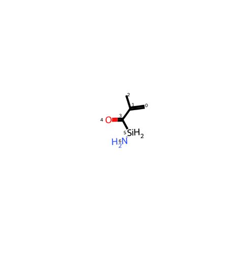 C=C(C)C(=O)[SiH2]N